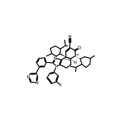 CC1CCC(C(C)C)C([C@H]2C(=O)C(C#N)=C[C@@]3(C4CC(C)CCC4C(C)C)c4nc(-c5cccc(-c6cncnc6)c5)n(-c5cccc(F)c5)c4CC[C@H]23)C1